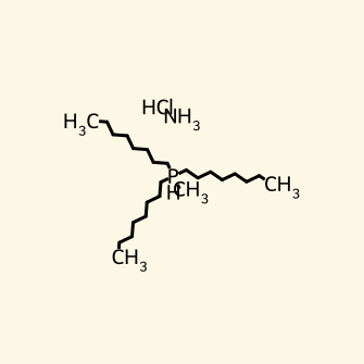 CCCCCCCC[PH](C)(CCCCCCCC)CCCCCCCC.Cl.N